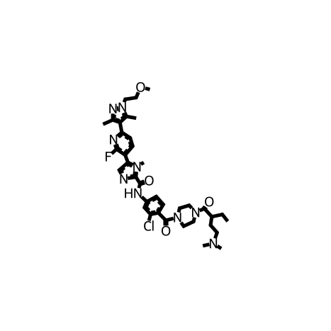 CCC(CCN(C)C)C(=O)N1CCN(C(=O)c2ccc(NC(=O)c3ncc(-c4ccc(-c5c(C)nn(CCOC)c5C)nc4F)n3C)cc2Cl)CC1